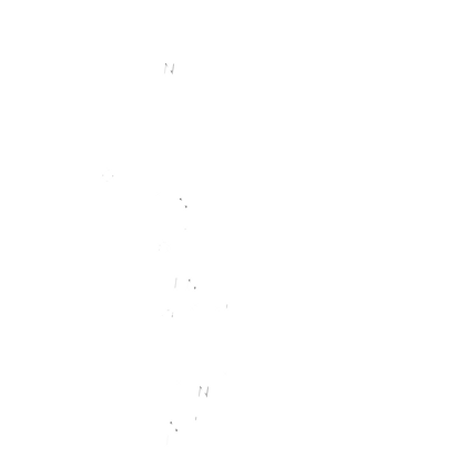 CC(C)CN(C)Cc1ccc2c(c1)OCCC2NC(=O)CC(NS(=O)(=O)C1=CC2=CNON2C=C1)c1ccccc1